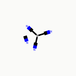 C#N.N#CB(C#N)C#N